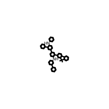 CC1(C)c2ccccc2-c2ccc(-c3cc(-c4ccc(Nc5ccccc5)c(-c5ccccc5)c4)ccc3Nc3cccc(-c4ccccc4)c3)cc21